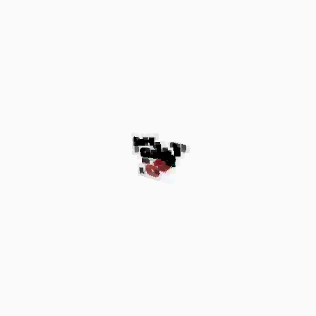 [GaH3].[O]=[Ti].[SnH4]